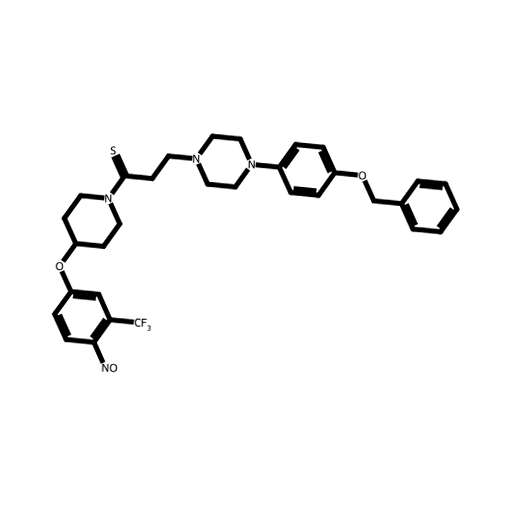 O=Nc1ccc(OC2CCN(C(=S)CCN3CCN(c4ccc(OCc5ccccc5)cc4)CC3)CC2)cc1C(F)(F)F